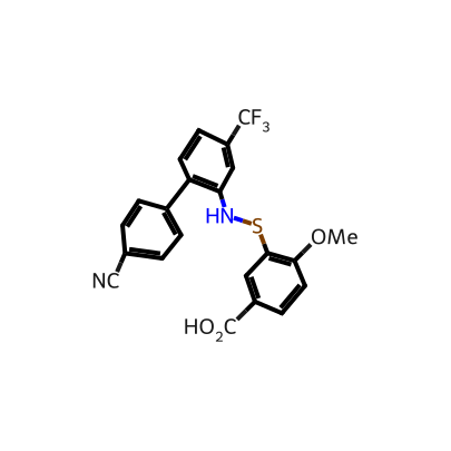 COc1ccc(C(=O)O)cc1SNc1cc(C(F)(F)F)ccc1-c1ccc(C#N)cc1